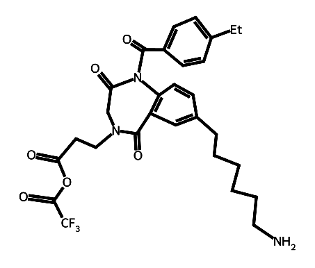 CCc1ccc(C(=O)N2C(=O)CN(CCC(=O)OC(=O)C(F)(F)F)C(=O)c3cc(CCCCCCN)ccc32)cc1